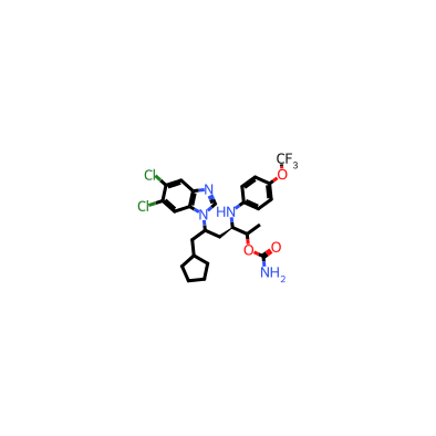 CC(OC(N)=O)[C@@H](CC(CC1CCCC1)n1cnc2cc(Cl)c(Cl)cc21)Nc1ccc(OC(F)(F)F)cc1